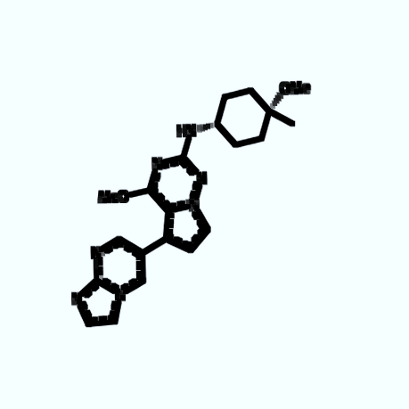 COc1nc(N[C@H]2CC[C@@](C)(OC)CC2)nn2ccc(-c3cnc4nccn4c3)c12